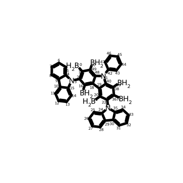 Bc1c(-n2c3ccccc3c3ccccc32)c(B)c2c3c(B)c(-n4c5ccccc5c5ccccc54)c(B)c(B)c3n(-c3ccccc3)c2c1B